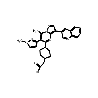 Cn1ccc(-c2c(C3CCC(CC(=O)O)CC3)nc3c(-c4cnc5ccccc5c4)cnn3c2N)n1